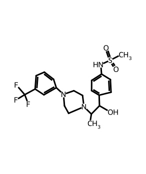 CC(C(O)c1ccc(NS(C)(=O)=O)cc1)N1CCN(c2cccc(C(F)(F)F)c2)CC1